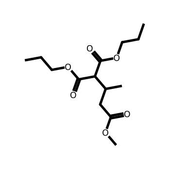 CCCOC(=O)C(C(=O)OCCC)C(C)CC(=O)OC